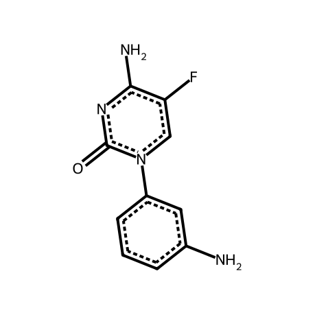 Nc1cccc(-n2cc(F)c(N)nc2=O)c1